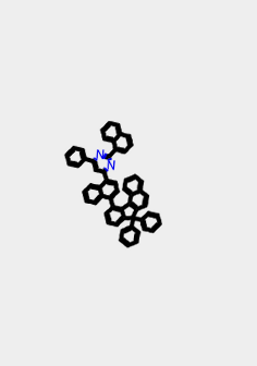 c1ccc(-c2cc(-c3ccc(-c4cccc5c4-c4c(ccc6ccccc46)C5(c4ccccc4)c4ccccc4)c4ccccc34)nc(-c3cccc4ccccc34)n2)cc1